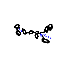 N/C(=N\C(=C/Cc1ccc2ccccc2c1)c1ccc(-c2ccc(-c3ccc(-n4c5ccccc5c5ccccc54)cc3)cc2)c2ccccc12)c1ccccc1